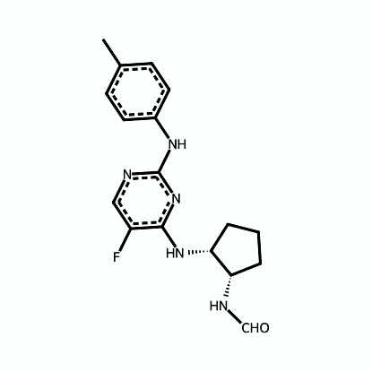 Cc1ccc(Nc2ncc(F)c(N[C@@H]3CCC[C@@H]3NC=O)n2)cc1